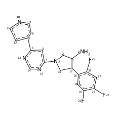 NC1CN(c2cc(-c3ccncc3)ncn2)CC1c1cc(F)c(F)cc1F